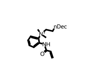 C=CC(=O)Nc1ccccc1[N+](C)(C)CCCCCCCCCCCC